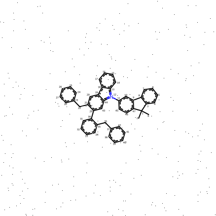 CC1(C)c2ccccc2-c2cc(-n3c4ccccc4c4cc(Cc5ccccc5)c(-c5ccccc5Cc5ccccc5)cc43)ccc21